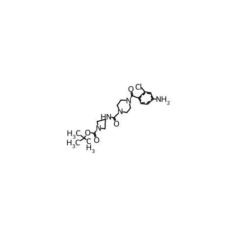 CC(C)(C)OC(=O)N1CC(NC(=O)N2CCN(C(=O)c3ccc(N)cc3Cl)CC2)C1